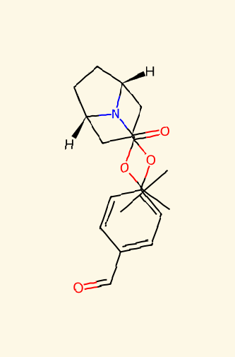 CC(C)(C)OC(=O)N1[C@@H]2CC[C@H]1CC(Oc1ccc(C=O)cc1)C2